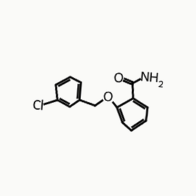 NC(=O)c1ccccc1OCc1cccc(Cl)c1